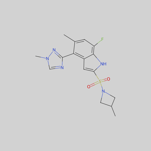 Cc1cc(F)c2[nH]c(S(=O)(=O)N3CC(C)C3)cc2c1-c1ncn(C)n1